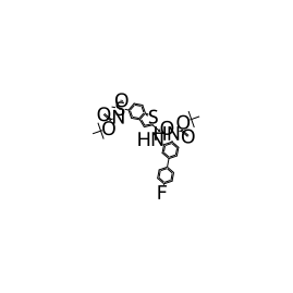 CC(C)(C)OC(=O)N=S(C)(=O)c1ccc2sc(C(=O)Nc3cc(-c4ccc(F)cc4)ccc3NC(=O)OC(C)(C)C)cc2c1